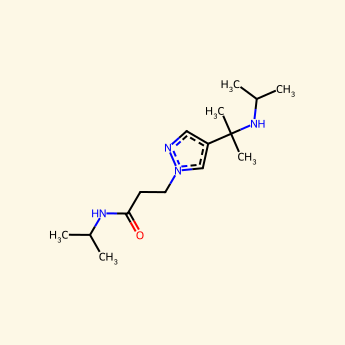 CC(C)NC(=O)CCn1cc(C(C)(C)NC(C)C)cn1